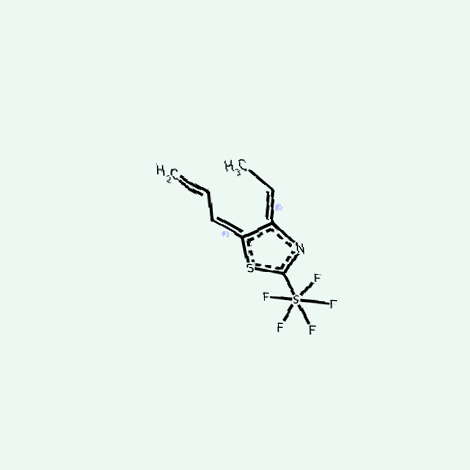 C=C/C=c1/sc(S(F)(F)(F)(F)F)n/c1=C/C